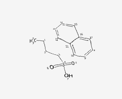 CCCCS(=O)(=O)O.c1ccc2ccccc2c1